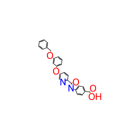 O=C(O)c1ccc2nc(-c3ccc(Oc4cccc(OCc5ccccc5)c4)cn3)oc2c1